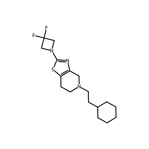 FC1(F)CN(c2nc3c(s2)CCN(CCC2CCCCC2)C3)C1